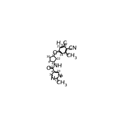 Cc1ncc(C(=O)N[C@@H]2CC[C@@H](Oc3cc(C)c(C#N)c(C)c3)C2)cn1